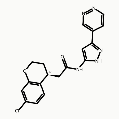 O=C(C[C@@H]1CCOc2cc(Cl)ccc21)Nc1cc(-c2ccnnc2)n[nH]1